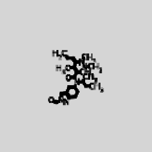 C=C/C=C(\C(C)=C(/C)C(=O)N(C(C)CC)C1CCc2nn(C=O)cc2C1)N(C)N=C